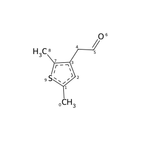 Cc1cc(CC=O)c(C)s1